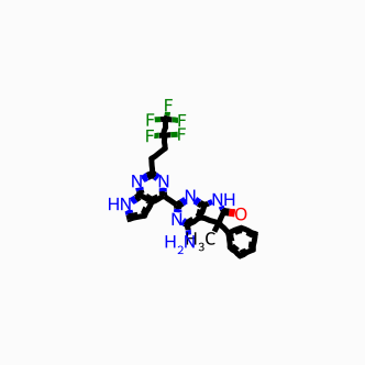 CC1(c2ccccc2)C(=O)Nc2nc(-c3nc(CCC(F)(F)C(F)(F)F)nc4[nH]ccc34)nc(N)c21